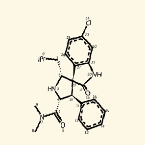 CC(C)C[C@H]1N[C@@H](C(=O)N(C)C)[C@H](c2ccccc2)[C@@]12C(=O)Nc1cc(Cl)ccc12